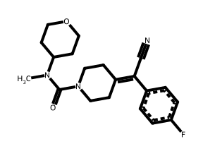 CN(C(=O)N1CCC(=C(C#N)c2ccc(F)cc2)CC1)C1CCOCC1